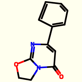 O=c1cc(-c2ccccc2)nc2n1CCO2